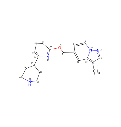 Cc1cnn2ccc(COc3cccc(C4CCNCC4)n3)cc12